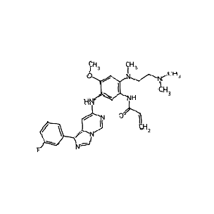 C=CC(=O)Nc1cc(Nc2cc3c(-c4cccc(F)c4)ncn3cn2)c(OC)cc1N(C)CCN(C)C